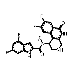 CN(C(=O)c1cc2c(F)cc(F)cc2[nH]1)C1CNCc2[nH]c(=O)c3cc(F)c(F)cc3c21